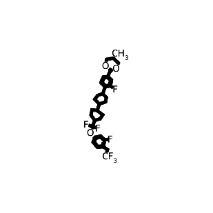 CC1COC(c2ccc(C3CCC(C4CCC(C(F)(F)Oc5ccc(CC(F)(F)F)c(F)c5)CC4)CC3)c(F)c2)OC1